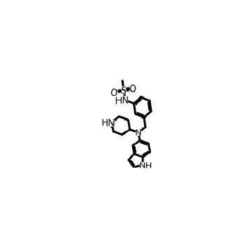 CS(=O)(=O)Nc1cccc(CN(c2ccc3[nH]ccc3c2)C2CCNCC2)c1